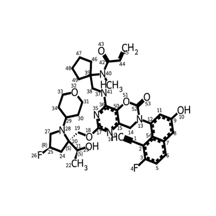 C#Cc1c(F)ccc2cc(O)cc(N3Cc4nc(OC[C@]5([C@H](C)O)C[C@@H](F)CN5C5CCOCC5)nc(NCC5(N(C)C(=O)C=C)CCCC5)c4OC3=O)c12